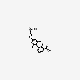 COC(=O)c1cccc(-c2c(C)cc(OCC[C@@H](C)O)nc2C)c1C